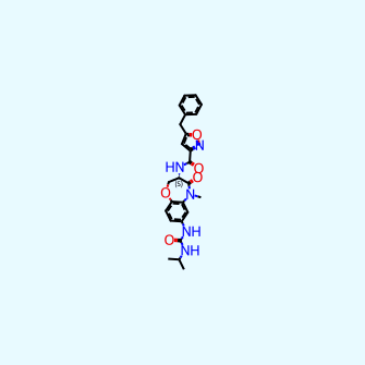 CC(C)NC(=O)Nc1ccc2c(c1)N(C)C(=O)[C@@H](NC(=O)c1cc(Cc3ccccc3)on1)CO2